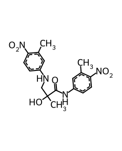 Cc1cc(NCC(C)(O)C(=O)Nc2ccc([N+](=O)[O-])c(C)c2)ccc1[N+](=O)[O-]